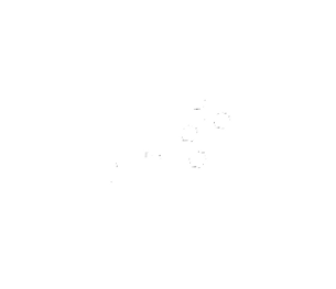 CC(C)[C@H](N)C(=O)OCCNC(=O)OCc1ccc(N(C(N)=O)c2c(F)cccc2F)nc1-c1ccc(F)cc1F